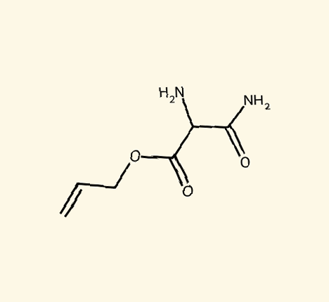 C=CCOC(=O)C(N)C(N)=O